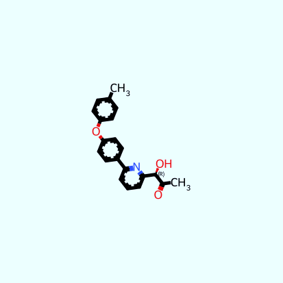 CC(=O)[C@H](O)c1cccc(-c2ccc(Oc3ccc(C)cc3)cc2)n1